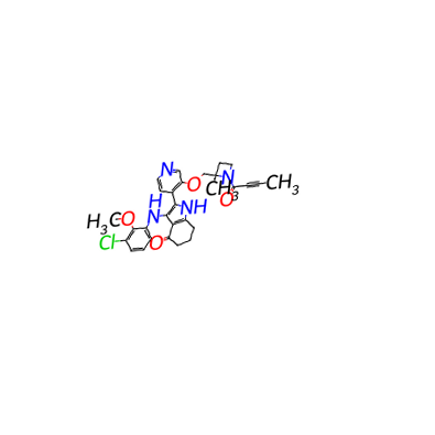 CC#CC(=O)N1CC[C@@]1(C)COc1cnccc1-c1[nH]c2c(c1Nc1cccc(Cl)c1OC)C(=O)CCC2